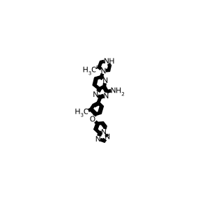 Cc1cc(-c2nc(N)c3nc(N4CCNC[C@H]4C)ccc3n2)ccc1Oc1ccn2ncnc2c1